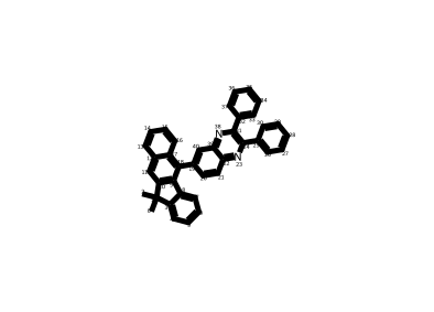 CC1(C)c2ccccc2-c2c1cc1ccccc1c2-c1ccc2nc(-c3ccccc3)c(-c3ccccc3)nc2c1